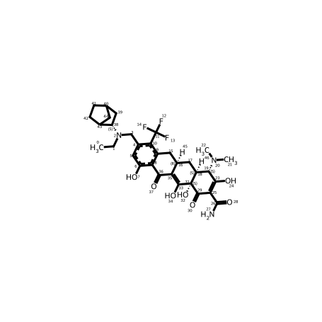 CCN(Cc1cc(O)c2c(c1C(F)(F)F)C[C@H]1C[C@H]3[C@H](N(C)C)C(O)=C(C(N)=O)C(=O)[C@@]3(O)C(O)=C1C2=O)[C@H]1CC2CCC1C2